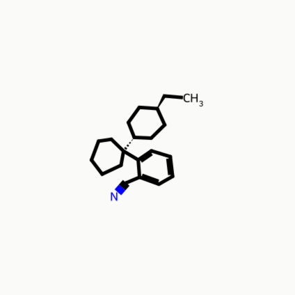 CC[C@H]1CC[C@H](C2(c3ccccc3C#N)CCCCC2)CC1